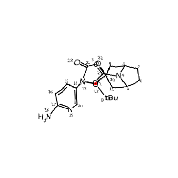 CC(C)(C)OC(=O)N1C2CCC1CC1(C2)CN(c2ccc(N)nc2)C(=O)O1